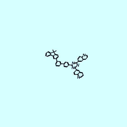 CC1(C)c2ccccc2-c2cc(-c3cccc(-c4ccc(-c5nc(-c6ccc7ncccc7c6)nc(-c6ccc7ncccc7c6)n5)cc4)c3)ccc21